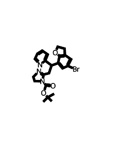 CC(C)(C)OC(=O)N1CCN=C1CC(c1ccccn1)c1cc(Br)cc2c1OCC2